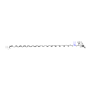 CCCCCCCCCCCCCCCCCCCCCCCCCCCCCCCNCC(C)C